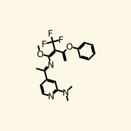 C=C(Oc1ccccc1)/C(=C(\N=C(/C)c1ccnc(N(C)C)c1)OC)C(F)(F)F